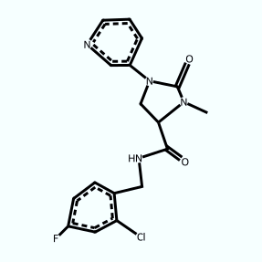 CN1C(=O)N(c2cccnc2)CC1C(=O)NCc1ccc(F)cc1Cl